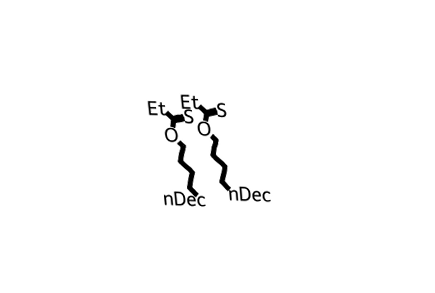 CCCCCCCCCCCCCCOC(=S)CC.CCCCCCCCCCCCCCOC(=S)CC